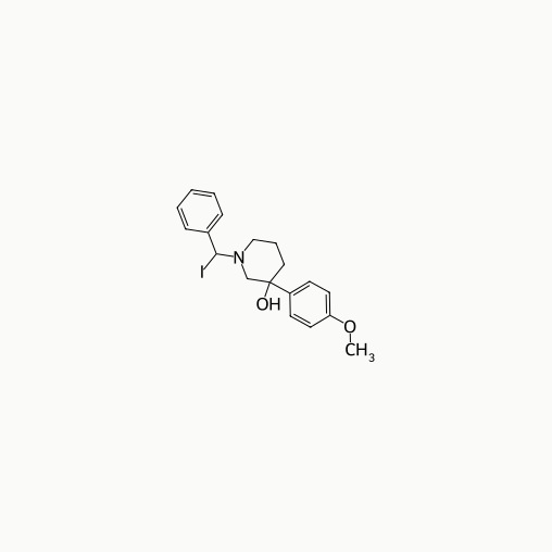 COc1ccc(C2(O)CCCN(C(I)c3ccccc3)C2)cc1